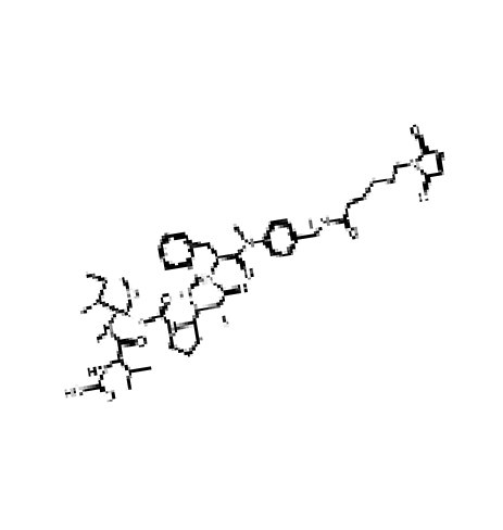 CC[C@H](C)[C@@H]([C@@H](CC(=O)N1CCCC1[C@H](OC)[C@@H](C)C(=O)NC(Cc1ccccc1)C(=O)N(C)c1ccc(CNC(=O)CCCCCN2C(=O)C=CC2=O)cc1)OC)N(C)C(=O)C(NC(=O)O)C(C)C